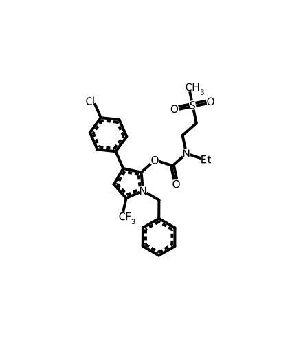 CCN(CCS(C)(=O)=O)C(=O)Oc1c(-c2ccc(Cl)cc2)cc(C(F)(F)F)n1Cc1ccccc1